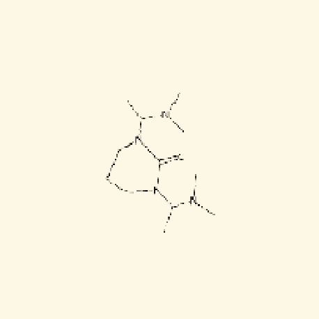 CC(N(C)C)N1CCCN(C(C)N(C)C)C1=O